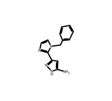 Nc1cc(-c2nccn2Cc2ccccc2)n[nH]1